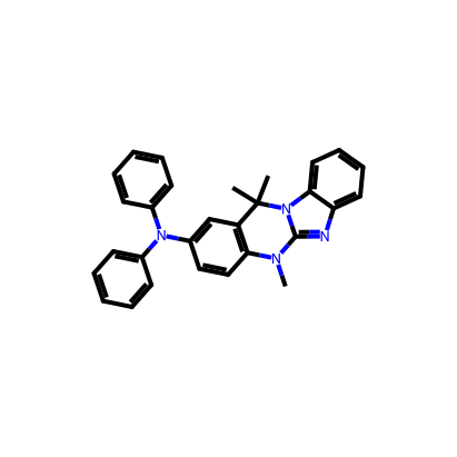 CN1c2ccc(N(c3ccccc3)c3ccccc3)cc2C(C)(C)n2c1nc1ccccc12